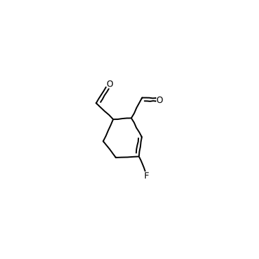 O=CC1C=C(F)CCC1C=O